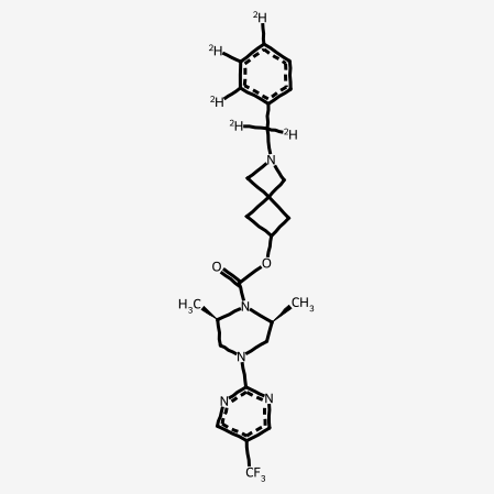 [2H]c1ccc(C([2H])([2H])N2CC3(CC(OC(=O)N4[C@H](C)CN(c5ncc(C(F)(F)F)cn5)C[C@@H]4C)C3)C2)c([2H])c1[2H]